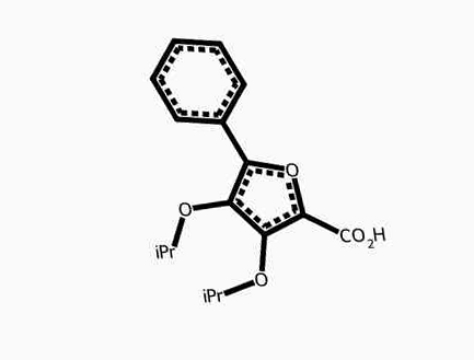 CC(C)Oc1c(C(=O)O)oc(-c2ccccc2)c1OC(C)C